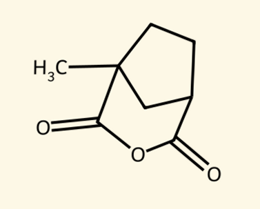 CC12CCC(C1)C(=O)OC2=O